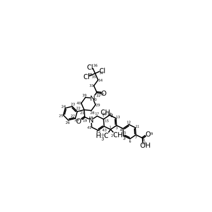 CC1(C)C(c2ccc(C(=O)O)cc2)=CC[C@]2(C)CN(C(=O)C3(c4ccccc4)CCN(C(=O)CCC(Cl)(Cl)Cl)CC3)CC=C12